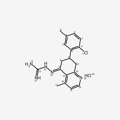 Cc1ccc(Cl)c(C2CC(=NNC(=N)N)c3c(C)ccnc3C2)c1.Cl